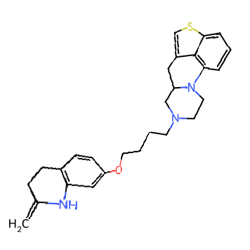 C=C1CCc2ccc(OCCCCN3CCN4c5cccc6scc(c56)CC4C3)cc2N1